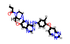 C=CC(=O)N1CCN2C[C@@H]1COc1cc3ncnc(Nc4ccc(Oc5ccn6ncnc6c5)c(C)c4)c3nc12